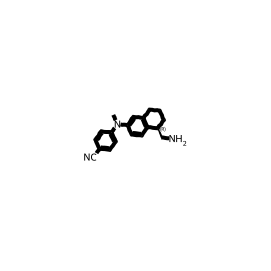 CN(c1ccc(C#N)cc1)c1ccc2c(c1)CCC[C@H]2CN